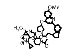 C=C[C@H]1C[C@]1(NC(=O)[C@@H]1C[C@@H](Oc2cc(-c3ccccc3)nc3cc(OC)ccc23)CN1C(=O)[C@@H](CC(=O)N1CCCCC1)CC1CCCC1)C(=O)N(C1CC1)[SH](=O)=O